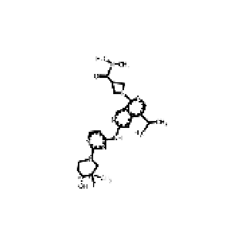 CC(C)c1cnc(N2CC(C(=O)N(C)C)C2)c2cnc(Nc3ccnc(N4CC[C@@H](O)[C@@](C)(F)C4)n3)cc12